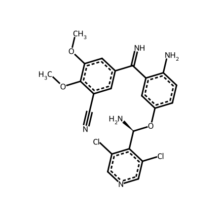 COc1cc(C(=N)c2cc(O[C@H](N)c3c(Cl)cncc3Cl)ccc2N)cc(C#N)c1OC